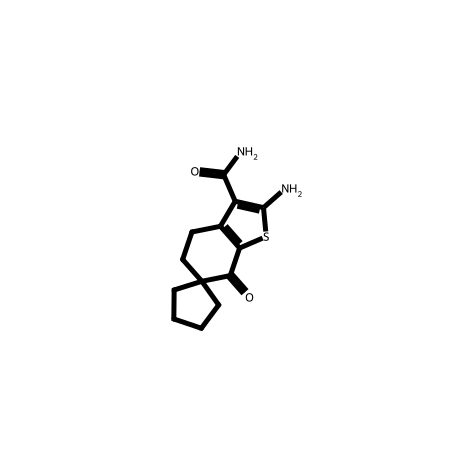 NC(=O)c1c(N)sc2c1CCC1(CCCC1)C2=O